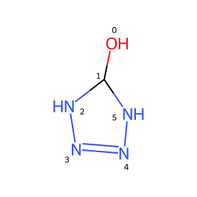 OC1NN=NN1